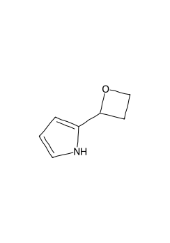 c1c[nH]c(C2CCO2)c1